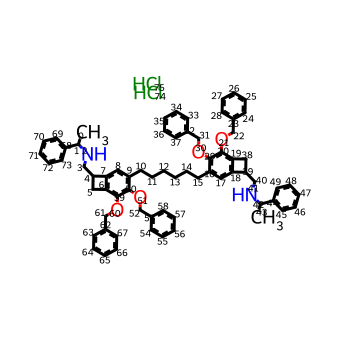 CC(NCC1Cc2c1cc(CCCCCCc1cc3c(c(OCc4ccccc4)c1OCc1ccccc1)CC3CNC(C)c1ccccc1)c(OCc1ccccc1)c2OCc1ccccc1)c1ccccc1.Cl.Cl